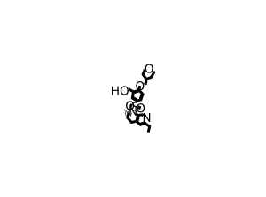 CCc1cc2c(cn1)N(S(=O)(=O)c1ccc(OCC3CCOCC3)c(CO)c1)[C@@H](C)CC2